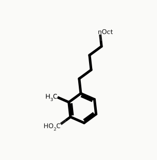 CCCCCCCCCCCCc1cccc(C(=O)O)c1C